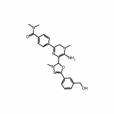 CN(C)C(=O)c1ccc(C2=NC(C3OC(c4cccc(CO)c4)=NN3C)=C(N)N(C)C2)cc1